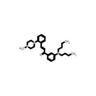 CCCCN(CCCC)c1cccc(C(=O)/C=C/c2ccccc2N2CCN(C)CC2)c1